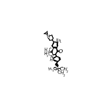 CCc1cc2c(cc1C1CCN(C3CC3)CC1)C(C)(C)c1[nH]c3cc(C#C[Si](C)(C)C)ccc3c1C2=O